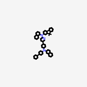 CC1(C)c2ccccc2-c2ccc(N(c3ccc(-c4ccc(N(c5ccc(-c6ccccc6)cc5)c5ccc6ccccc6c5)cc4)cn3)c3cccc4ccccc34)cc21